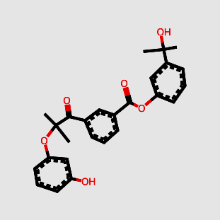 CC(C)(Oc1cccc(O)c1)C(=O)c1cccc(C(=O)Oc2cccc(C(C)(C)O)c2)c1